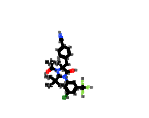 CC(=O)N1[C@H](C(C)(C)C)N(c2cc(Cl)cc(C(F)(F)F)c2)C(=O)[C@@]1(C)Cc1ccc(C#N)cc1